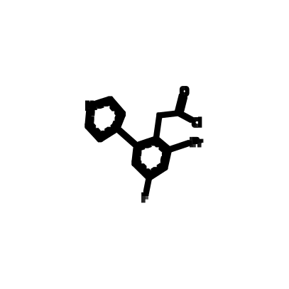 CC(C)c1cc(F)cc(-c2ccncc2)c1CC(=O)Cl